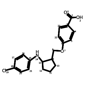 O=C(O)c1ccc(OCC2CCCC2Nc2ccc(Cl)cc2)cc1